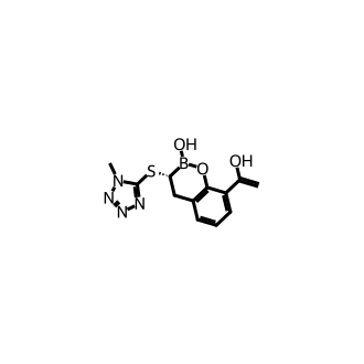 C=C(O)c1cccc2c1OB(O)[C@@H](Sc1nnnn1C)C2